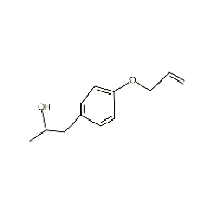 C=CCOc1ccc(C[C](C)O)cc1